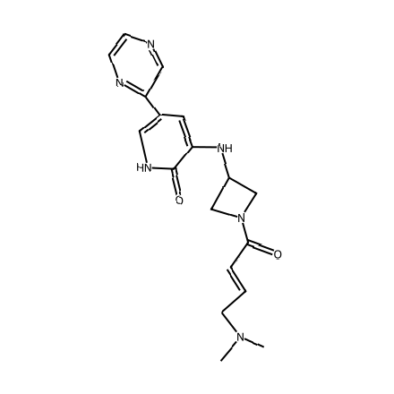 CN(C)CC=CC(=O)N1CC(Nc2cc(-c3cnccn3)c[nH]c2=O)C1